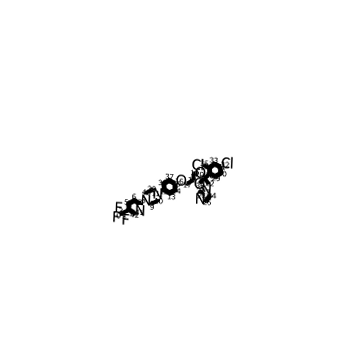 FC(F)(F)c1ccc(N2CCN(c3ccc(OCC4COC(Cn5ccnc5)(c5ccc(Cl)cc5Cl)O4)cc3)CC2)nc1